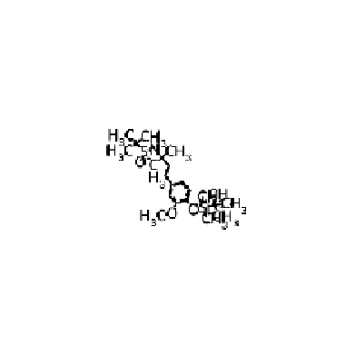 COc1cc(CCC(C)(C)N[S+]([O-])C(C)(C)C)ccc1O[Si](C)(C)C(C)(C)C